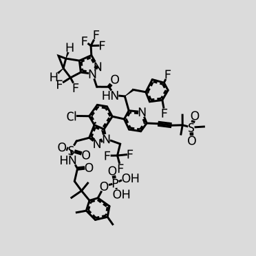 Cc1cc(C)c(C(C)(C)CC(=O)NS(=O)(=O)Cc2nn(CC(F)(F)F)c3c(-c4ccc(C#CC(C)(C)S(C)(=O)=O)nc4[C@H](Cc4cc(F)cc(F)c4)NC(=O)Cn4nc(C(F)(F)F)c5c4C(F)(F)[C@@H]4C[C@H]54)ccc(Cl)c23)c(OP(=O)(O)O)c1